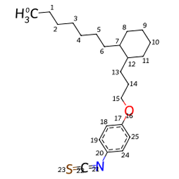 CCCCCCCC1CCCCC1CCCOc1ccc(N=C=S)cc1